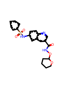 O=C(NOC1CCCCO1)c1cnc2ccc(NS(=O)(=O)c3ccccc3)cc2c1